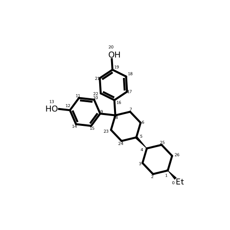 CC[C@H]1CC[C@@H](C2CCC(c3ccc(O)cc3)(c3ccc(O)cc3)CC2)CC1